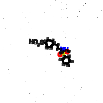 O=C(O)c1ccc(CCNS(=O)(=O)c2ccccc2)cc1